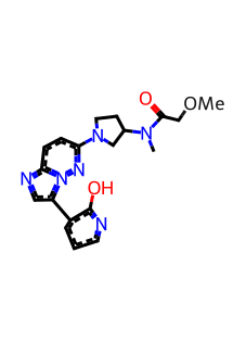 COCC(=O)N(C)C1CCN(c2ccc3ncc(-c4cccnc4O)n3n2)C1